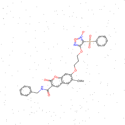 COc1cc2cc(C(=O)NCc3ccccc3)c(=O)oc2cc1OCCCOc1no[n+]([O-])c1S(=O)(=O)c1ccccc1